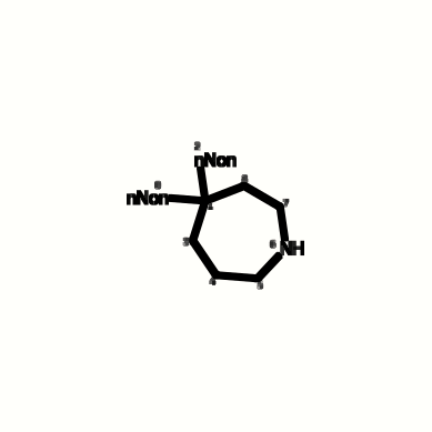 CCCCCCCCCC1(CCCCCCCCC)CCCNCC1